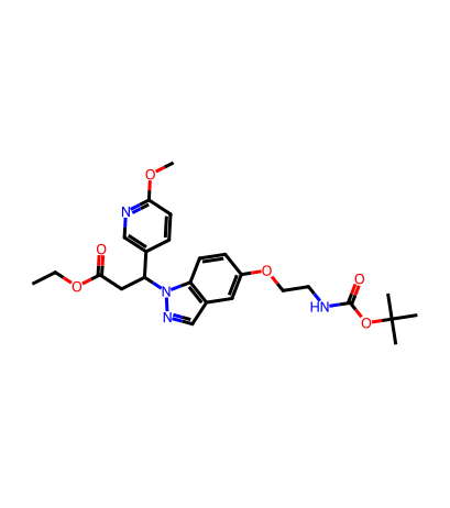 CCOC(=O)CC(c1ccc(OC)nc1)n1ncc2cc(OCCNC(=O)OC(C)(C)C)ccc21